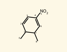 CC1C=CC([N+](=O)[O-])=CC1C